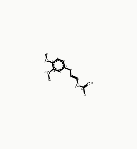 COc1ccc(CC=COC(C)=O)cc1OC